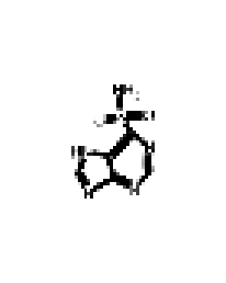 NS(=O)(=O)c1ncnc2nc[nH]c12